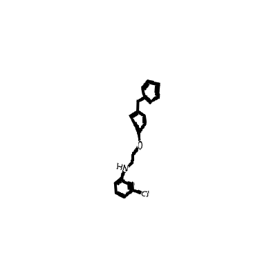 Clc1cccc(NCCOc2ccc(Cc3ccccc3)cc2)c1